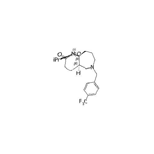 CC(C)[C@H]1CO[C@]23CCCN(Cc4ccc(C(F)(F)F)cc4)C[C@H]2CCC(=O)N13